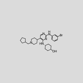 O[C@H]1CC[C@H](Nc2nc(Nc3cccc(Br)c3)ncc2C2CCN(CC3CCCC3)CC2)CC1